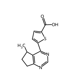 CC1CCc2ncnc(-c3ccc(C(=O)O)s3)c21